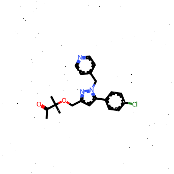 CC(=O)C(C)(C)OCc1cc(-c2ccc(Cl)cc2)n(Cc2ccncc2)n1